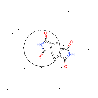 O=c1[nH]c(=O)c2c3c4c(=O)[nH]c(=O)c4c(c12)CCCCCCCCCCCC3